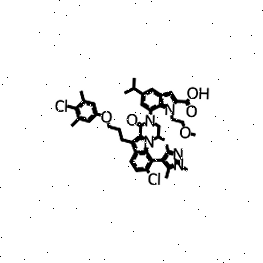 COCCn1c(C(=O)O)cc2cc(C(C)C)cc(N3CC(C)n4c(c(CCCOc5cc(C)c(Cl)c(C)c5)c5ccc(Cl)c(-c6c(C)nn(C)c6C)c54)C3=O)c21